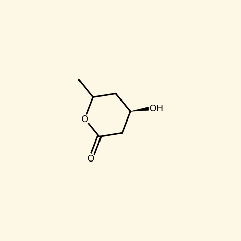 CC1C[C@@H](O)CC(=O)O1